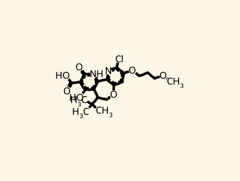 COCCCOc1cc2c(nc1Cl)-c1[nH]c(=O)c(C(=O)O)c(O)c1C(C(C)(C)C)CO2